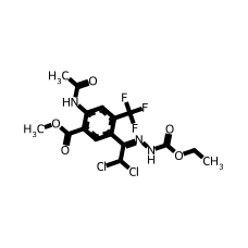 CCOC(=O)NN=C(c1cc(C(=O)OC)c(NC(C)=O)cc1C(F)(F)F)C(Cl)Cl